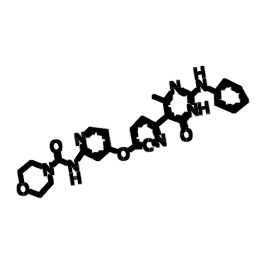 Cc1nc(Nc2ccccc2)[nH]c(=O)c1-c1ccc(Oc2ccnc(NC(=O)N3CCOCC3)c2)cn1